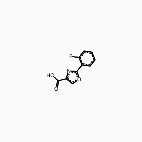 O=C(O)c1coc(-c2ccccc2F)n1